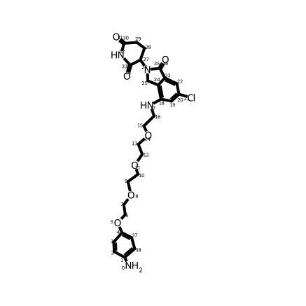 Nc1ccc(OCCOCCOCCOCCNc2cc(Cl)cc3c2CN(C2CCC(=O)NC2=O)C3=O)cc1